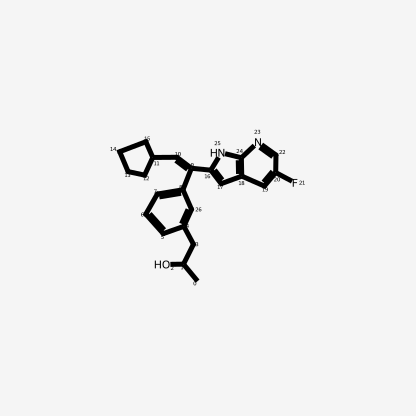 CC(O)Cc1cccc(C(=CC2CCCC2)c2cc3cc(F)cnc3[nH]2)c1